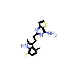 Cc1[nH]c2c(F)ccc(C)c2c1CCc1nc(N)c2sccc2n1